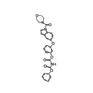 O=C(NC(=O)Oc1cc(Oc2ccc3c(ccn3C(=O)N3CCOCC3)c2)ccn1)Oc1ccccc1